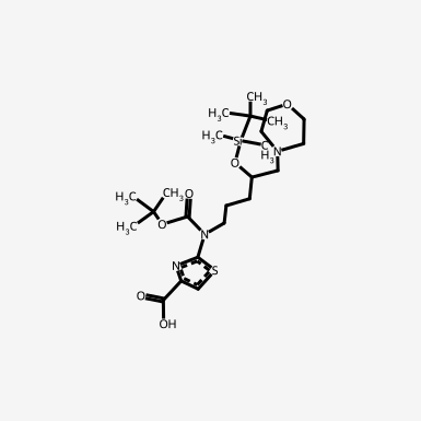 CC(C)(C)OC(=O)N(CCCC(CN1CCOCC1)O[Si](C)(C)C(C)(C)C)c1nc(C(=O)O)cs1